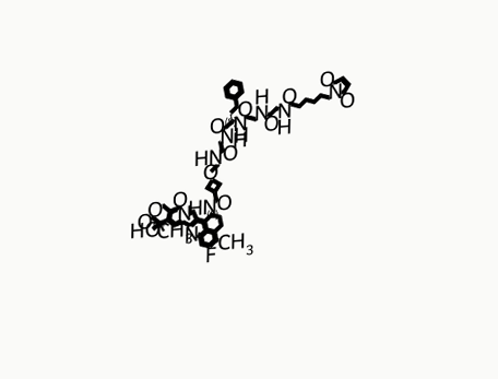 Cc1c(F)cc2nc3c(c4c2c1CC[C@@H]4NC(=O)C1CC(OCNC(=O)CNC(=O)[C@H](CCc2ccccc2)NC(=O)CNC(=O)CNC(=O)CCCCCN2C(=O)C=CC2=O)C1)Cn1c-3cc2c(c1=O)COC(=O)[C@@]2(C)O